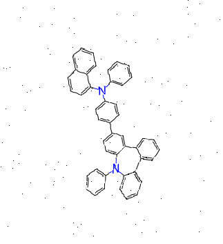 c1ccc(N2c3ccccc3-c3ccccc3-c3cc(-c4ccc(N(c5ccccc5)c5cccc6ccccc56)cc4)ccc32)cc1